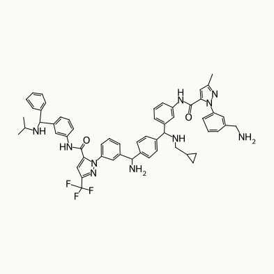 Cc1cc(C(=O)Nc2cccc(C(NCC3CC3)c3ccc(C(N)c4cccc(-n5nc(C(F)(F)F)cc5C(=O)Nc5cccc(C(NC(C)C)c6ccccc6)c5)c4)cc3)c2)n(-c2cccc(CN)c2)n1